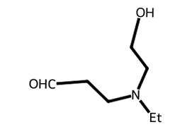 CCN(CCO)CCC=O